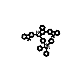 CC1(C)c2ccccc2-c2ccc(-c3cc(-c4ccc(-n5c(C6=CCCC=C6)nc(-c6ccccc6)c5-c5ccccc5)cc4)c4cc(-c5ccc6c(c5)C(C)(C)c5ccccc5-6)c5ccccc5c4n3)cc21